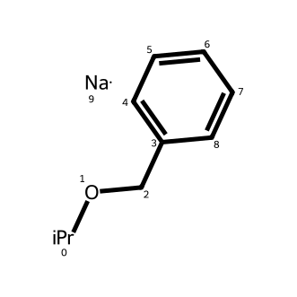 CC(C)OCc1ccccc1.[Na]